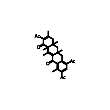 CC(=O)C1=C(C)CC2(C)CC3(C)Cc4c(C(C)=O)cc(C(C)=O)c(C)c4C(=O)C3=C(C)C2(C)C1=O